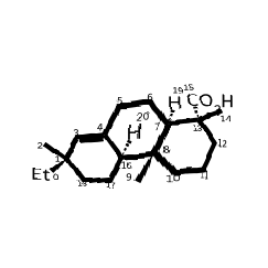 CC[C@@]1(C)C=C2CC[C@@H]3[C@](C)(CCC[C@@]3(C)C(=O)O)[C@H]2CC1